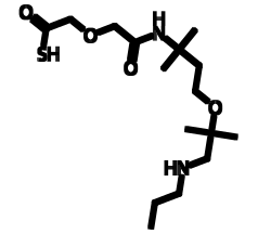 CCCNCC(C)(C)OCCC(C)(C)NC(=O)COCC(=O)S